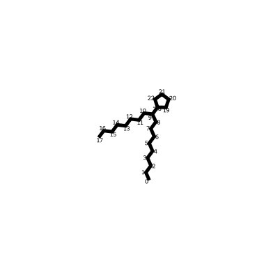 CCCCCCCCCC(CCCCCCCC)[C]1CCCC1